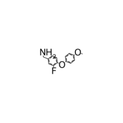 COc1ccc(Oc2ccc(CN)cc2F)cc1